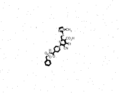 CCc1c(C#N)c(N2CCC(C(=O)NS(=O)(=O)Cc3ccccc3)CC2)nc(CSc2nccn2C)c1C(=O)O